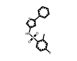 Cc1cc(F)ccc1S(=O)(=O)Nc1csc(-c2ccccc2)c1